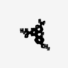 Cc1ccc(-c2cc(C(N)=O)nc3c2CC[C@H](C(F)F)O3)c(F)c1